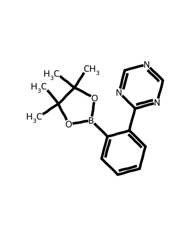 CC1(C)OB(c2ccccc2-c2ncncn2)OC1(C)C